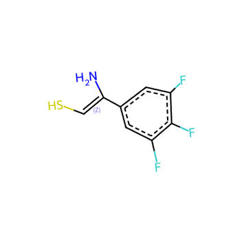 N/C(=C\S)c1cc(F)c(F)c(F)c1